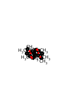 Cc1cc(C)c(-c2cccc(-c3c(C)cc(C)cc3C)c2-c2ccc3c(c2)c2c4c5ccccc5n5c6ccc(-c7c(-c8c(C)cc(C)cc8C)cccc7-c7c(C)cc(C)cc7C)cc6c(c6c7ccccc7n3c62)c45)c(C)c1